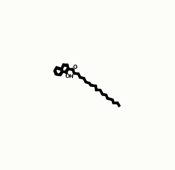 CCCCCCCCCCCCCCCCCC(=O)c1ccc2ccccc2c1O